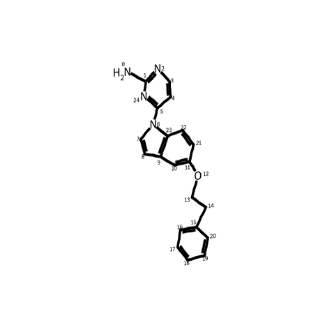 Nc1nccc(-n2ccc3cc(OCCc4ccccc4)ccc32)n1